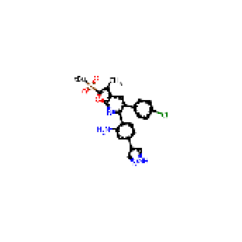 Cc1c(S(=O)(=O)C(C)(C)C)oc2nc(-c3ccc(-c4cn[nH]c4)cc3N)c(-c3ccc(Cl)cc3)cc12